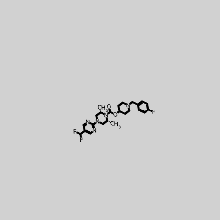 C[C@@H]1CN(c2ncc(C(F)F)cn2)C[C@H](C)N1C(=O)OC1CCN(Cc2ccc(F)cc2)CC1